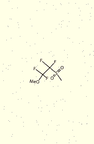 COC(F)(F)C(F)(F)S(C)(=O)=O